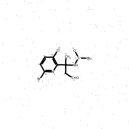 CC(CC=O)(N[S+]([O-])C(C)(C)C)c1nc(Br)ccc1Cl